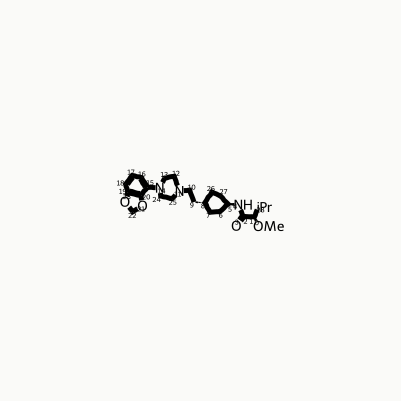 CO[C@@H](C(=O)N[C@H]1CC[C@H](CCN2CCN(c3cccc4c3OCO4)CC2)CC1)C(C)C